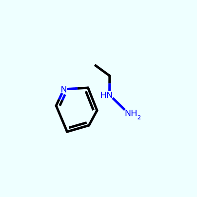 CCNN.c1ccncc1